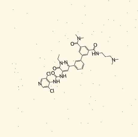 CCn1nc(-c2cccc(-c3cc(C(=O)NCCCN(C)C)cc(C(=O)N(C)C)c3)c2)cc(NC(=O)Nc2c(Cl)cncc2Cl)c1=O